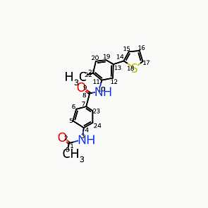 CC(=O)Nc1ccc(C(=O)Nc2cc(-c3cccs3)ccc2C)cc1